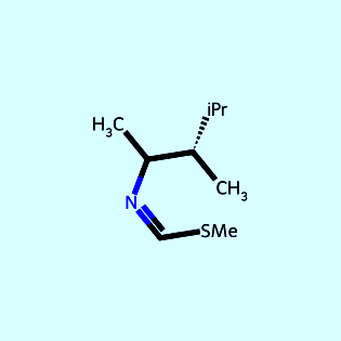 CS/C=N\C(C)[C@@H](C)C(C)C